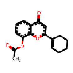 CC(=O)Oc1cccc2c(=O)cc(C3=CCCCC3)oc12